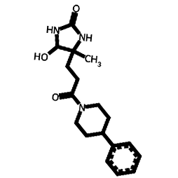 CC1(CCC(=O)N2CCC(c3ccccc3)CC2)NC(=O)NC1O